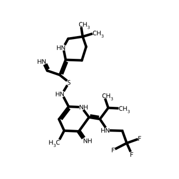 CC1C=C(NS/C(C=N)=C2\CCC(C)(C)CN2)N/C(=C(/NCC(F)(F)F)C(C)C)C1=N